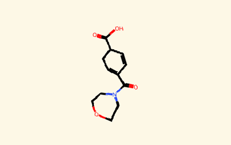 O=C(O)C1C=CC(C(=O)N2CCOCC2)=CC1